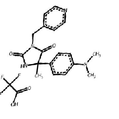 CN(C)c1ccc(C2(C)NC(=O)N(Cc3ccncc3)C2=O)cc1.O=C(O)C(F)(F)F